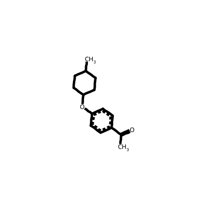 CC(=O)c1ccc(OC2CCC(C)CC2)cc1